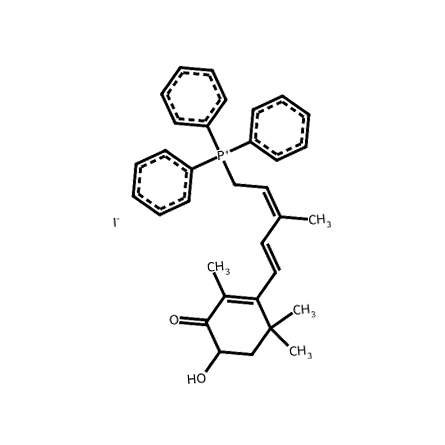 CC(=CC[P+](c1ccccc1)(c1ccccc1)c1ccccc1)/C=C/C1=C(C)C(=O)C(O)CC1(C)C.[I-]